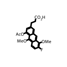 COc1c(F)ccc2c(OC)c3c(OC(C)=O)cc(CCC(=O)O)cc3cc12